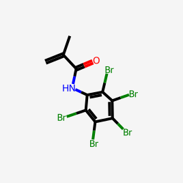 C=C(C)C(=O)Nc1c(Br)c(Br)c(Br)c(Br)c1Br